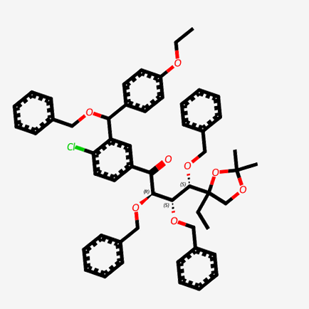 CCOc1ccc(C(OCc2ccccc2)c2cc(C(=O)[C@H](OCc3ccccc3)[C@@H](OCc3ccccc3)[C@H](OCc3ccccc3)C3(CC)COC(C)(C)O3)ccc2Cl)cc1